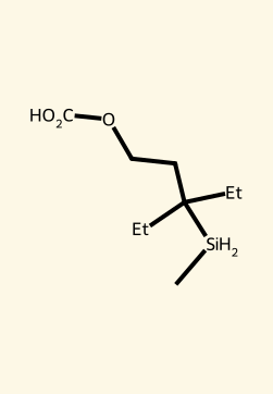 CCC(CC)(CCOC(=O)O)[SiH2]C